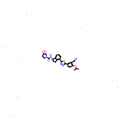 CC(C)Oc1ccc(-c2nnc(-c3cccc4c3CC[C@H]4NC(=O)N3CC[C@H](O)C3)s2)cc1C#N